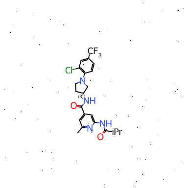 Cc1cc(C(=O)N[C@@H]2CCN(c3ccc(C(F)(F)F)cc3Cl)C2)cc(NC(=O)C(C)C)n1